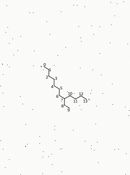 [CH2]CCCCCCC(CC)CCC[CH2]